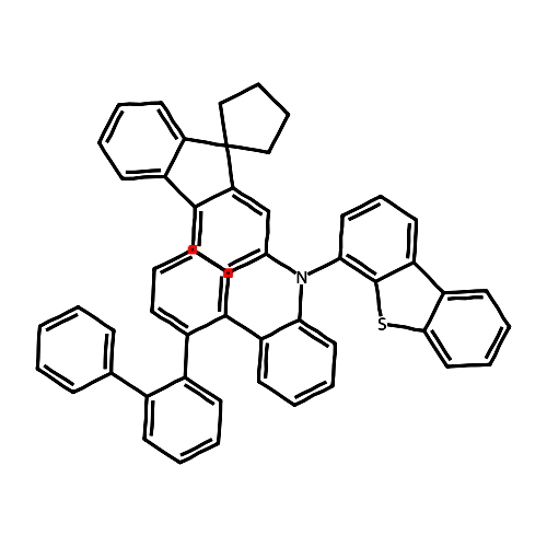 c1ccc(-c2ccccc2-c2ccccc2-c2ccccc2N(c2ccc3c(c2)C2(CCCC2)c2ccccc2-3)c2cccc3c2sc2ccccc23)cc1